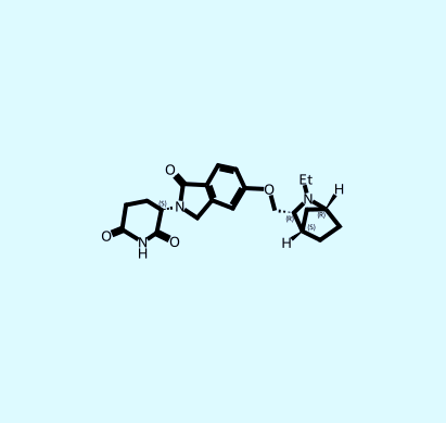 CCN1[C@@H]2CC[C@@H](C2)[C@@H]1COc1ccc2c(c1)CN([C@H]1CCC(=O)NC1=O)C2=O